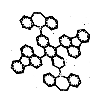 C1=c2c(-c3ccc4c5c(cccc35)-c3ccccc3-4)c3ccc(N4c5ccccc5CCc5ccccc54)cc3c(-c3ccc4c5c(cccc35)-c3ccccc3-4)c2=CCC1N1c2ccccc2CCc2ccccc21